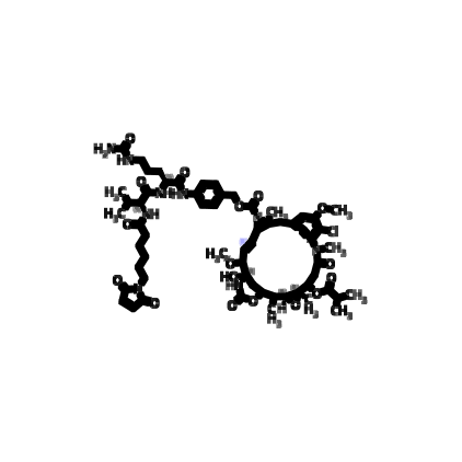 COc1cc2cc(c1Cl)N(C)C(=O)CC(OC(=O)C(C)C)[C@]1(C)O[C@H]1C(C)C1C[C@](O)(NC(=O)O1)C(OC)/C=C/C1N(C(=O)OCc3ccc(NC(=O)[C@H](CCCNC(N)=O)NC(=O)[C@@H](NC(=O)CCCCCN4C(=O)C=CC4=O)C(C)C)cc3)C1(C)C2